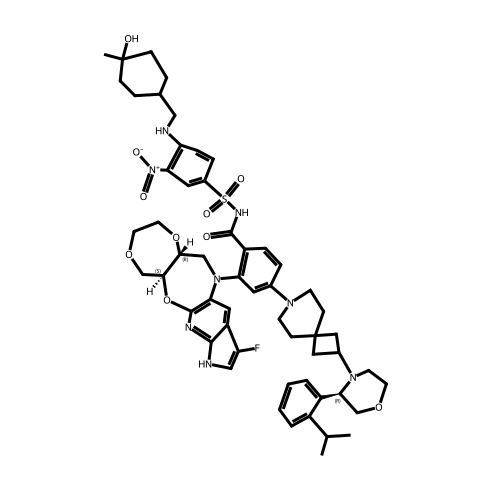 CC(C)c1ccccc1[C@@H]1COCCN1C1CC2(CCN(c3ccc(C(=O)NS(=O)(=O)c4ccc(NCC5CCC(C)(O)CC5)c([N+](=O)[O-])c4)c(N4C[C@H]5OCCOC[C@@H]5Oc5nc6[nH]cc(F)c6cc54)c3)CC2)C1